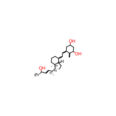 C=C1C(=CC=C2CCC[C@]3(C)[C@@H]([C@H](C)C=CC(O)C(C)C)CC[C@@H]23)CC(O)CC1O